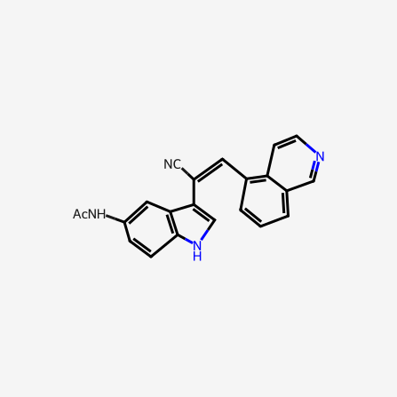 CC(=O)Nc1ccc2[nH]cc(C(C#N)=Cc3cccc4cnccc34)c2c1